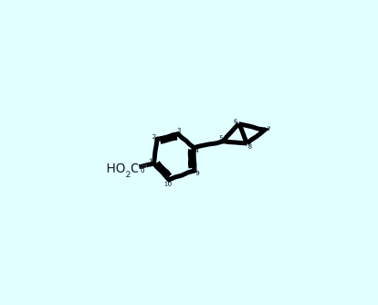 O=C(O)c1ccc(C2C3CC32)cc1